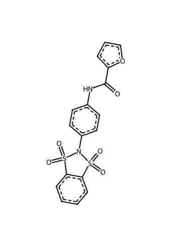 O=C(Nc1ccc(N2S(=O)(=O)c3ccccc3S2(=O)=O)cc1)c1ccco1